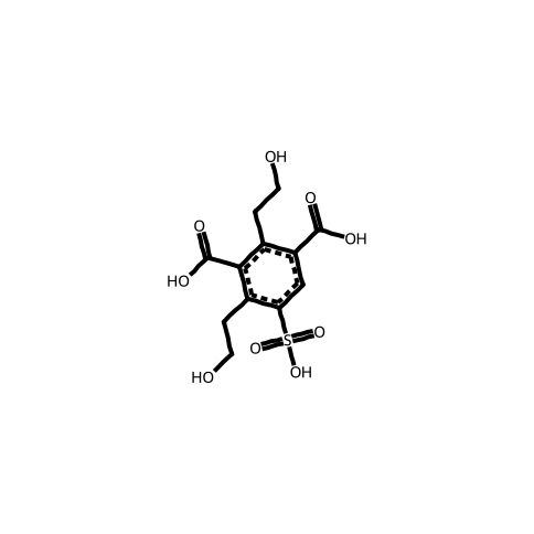 O=C(O)c1cc(S(=O)(=O)O)c(CCO)c(C(=O)O)c1CCO